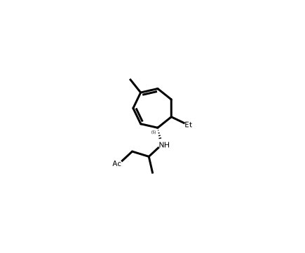 CCC1CC=C(C)C=C[C@H]1NC(C)CC(C)=O